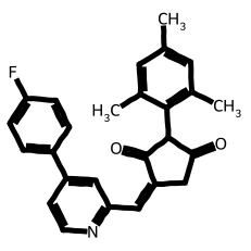 Cc1cc(C)c(C2C(=O)CC(=Cc3cc(-c4ccc(F)cc4)ccn3)C2=O)c(C)c1